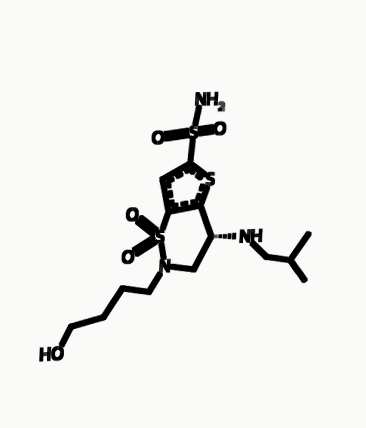 CC(C)CN[C@@H]1CN(CCCCO)S(=O)(=O)c2cc(S(N)(=O)=O)sc21